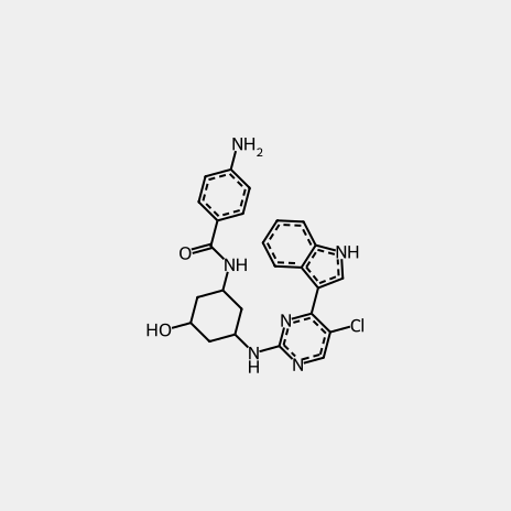 Nc1ccc(C(=O)NC2CC(O)CC(Nc3ncc(Cl)c(-c4c[nH]c5ccccc45)n3)C2)cc1